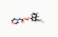 O=C(CN1CCOCC1)OCOc1ccc([N+](=O)[O-])c2cccnc12